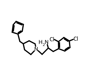 NC(Cc1ccc(Cl)cc1Cl)CN1CCC(Cc2ccccc2)CC1